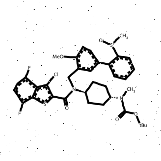 COc1ccc(-c2ccccc2[S+](C)[O-])cc1CN(C(=O)c1sc2c(F)ccc(F)c2c1Cl)[C@H]1CC[C@H](N(C)C(=O)OC(C)(C)C)CC1